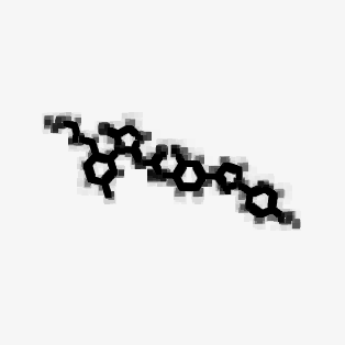 Cc1ccc(COCC(F)(F)F)c(N2C(=O)CSC2=NC(=O)Nc2ccc(-c3ccn(-c4ccc(C(F)(F)F)cn4)n3)cc2F)c1